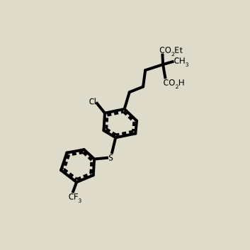 CCOC(=O)C(C)(CCCc1ccc(Sc2cccc(C(F)(F)F)c2)cc1Cl)C(=O)O